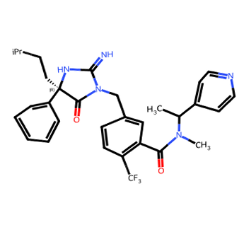 CC(C)CC[C@]1(c2ccccc2)NC(=N)N(Cc2ccc(C(F)(F)F)c(C(=O)N(C)C(C)c3ccncc3)c2)C1=O